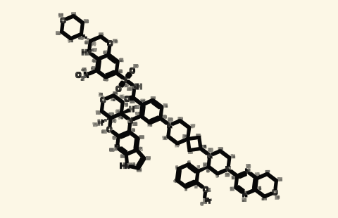 CC(C)Oc1ccccc1[C@@H]1CN(c2cnc3c(n2)CCOC3)CCN1C1CC2(CCN(c3ccc(C(=O)NS(=O)(=O)c4cc5c(c([N+](=O)[O-])c4)N[C@H](C4CCOCC4)CO5)c(N4c5cc6cc[nH]c6nc5O[C@H]5COCC[C@@H]54)c3)CC2)C1